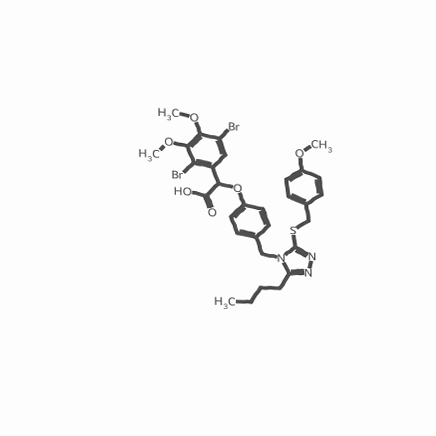 CCCCc1nnc(SCc2ccc(OC)cc2)n1Cc1ccc(OC(C(=O)O)c2cc(Br)c(OC)c(OC)c2Br)cc1